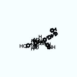 CC(C)c1ccccc1[C@@H]1CCCN1C1CC2(CCN(c3ccc(C(=O)NS(=O)(=O)c4cc([N+](=O)[O-])c(NCC5CCC(C)(O)CC5)c5c4ncn5C)c(Oc4cnc5[nH]ccc5c4)c3)CC2)C1